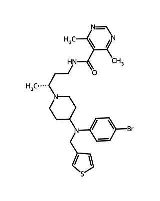 Cc1ncnc(C)c1C(=O)NCC[C@@H](C)N1CCC(N(Cc2ccsc2)c2ccc(Br)cc2)CC1